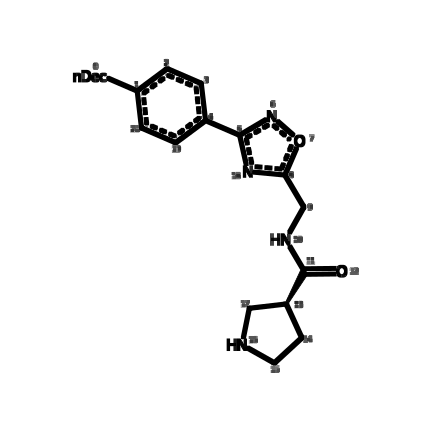 CCCCCCCCCCc1ccc(-c2noc(CNC(=O)[C@H]3CCNC3)n2)cc1